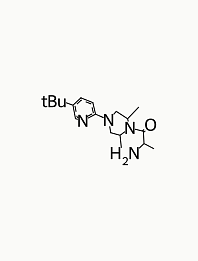 CC(N)C(=O)N1C(C)CN(c2ccc(C(C)(C)C)cn2)CC1C